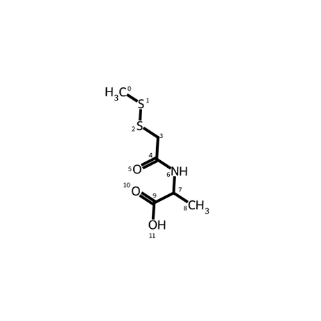 CSSCC(=O)NC(C)C(=O)O